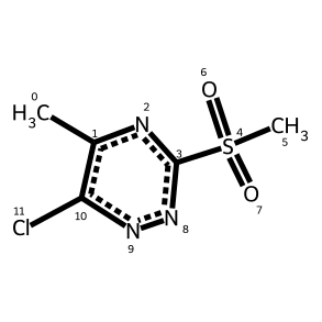 Cc1nc(S(C)(=O)=O)nnc1Cl